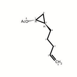 C=CCCC[C@@H]1C[C@H]1OC(C)=O